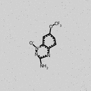 Nc1nc2ccc(OC(F)(F)F)cc2[n+]([O-])n1